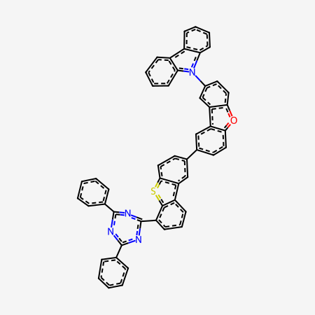 c1ccc(-c2nc(-c3ccccc3)nc(-c3cccc4c3sc3ccc(-c5ccc6oc7ccc(-n8c9ccccc9c9ccccc98)cc7c6c5)cc34)n2)cc1